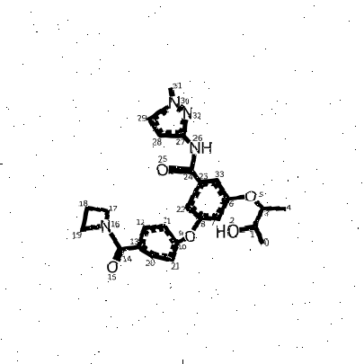 CC(O)C(C)Oc1cc(Oc2ccc(C(=O)N3CCC3)cc2)cc(C(=O)Nc2ccn(C)n2)c1